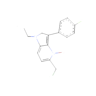 CCOC(=O)CN1CC(c2ccc(F)cc2)=C2C1=CC=C(CCl)N2Br